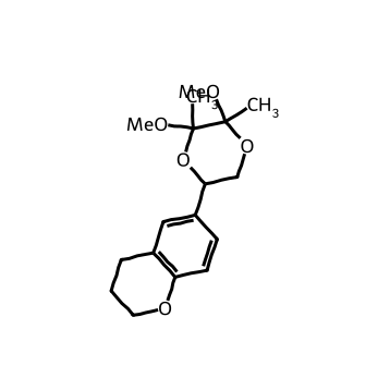 COC1(C)OCC(c2ccc3c(c2)CCCO3)OC1(C)OC